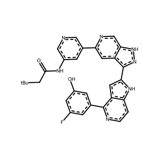 CC(C)(C)CC(=O)Nc1cncc(-c2cc3c(-c4cc5c(-c6cc(O)cc(F)c6)nccc5[nH]4)n[nH]c3cn2)c1